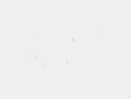 O=c1[nH]nc2nc3ccccn3cc1-2